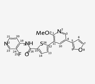 COc1ncc(-c2ccoc2)cc1-c1ccc(C(=O)Nc2ccncc2F)s1